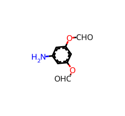 Nc1cc(OC=O)cc(OC=O)c1